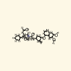 COc1cc2nccc(Oc3ccc(NC(=O)/C(C=O)=C(\C)N(CC(C)=O)Nc4ccccc4)cc3F)c2cc1OC